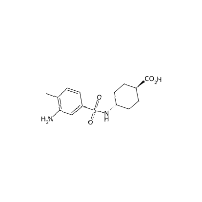 Cc1ccc(S(=O)(=O)N[C@H]2CC[C@H](C(=O)O)CC2)cc1N